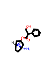 CC(C)(C)N1[C@H]2CC[C@]1(N)C[C@H](OC(=O)C(CO)c1ccccc1)C2